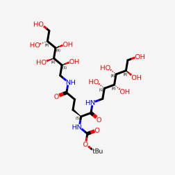 CC(C)(C)OC(=O)N[C@@H](CCC(=O)NC[C@H](O)[C@@H](O)[C@H](O)[C@H](O)CO)C(=O)NC[C@H](O)[C@@H](O)[C@H](O)[C@H](O)CO